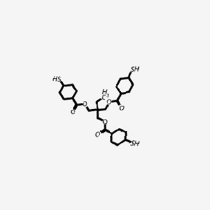 CCC(COC(=O)C1CCC(S)CC1)(COC(=O)C1CCC(S)CC1)COC(=O)C1CCC(S)CC1